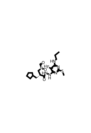 CCCNc1nc(SC)nc(NNC(=O)[C@H](CC2CCCC2)CN(O)C=O)c1F